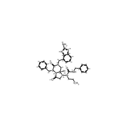 CCCN(C(=O)NCc1ccccc1)N1CC(=O)N2[C@@H](Cc3ccccc3)C(=O)N(Cc3cccc4sc(N)nc34)C[C@@H]21